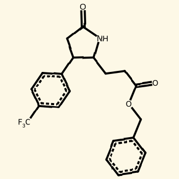 O=C1CC(c2ccc(C(F)(F)F)cc2)C(CCC(=O)OCc2ccccc2)N1